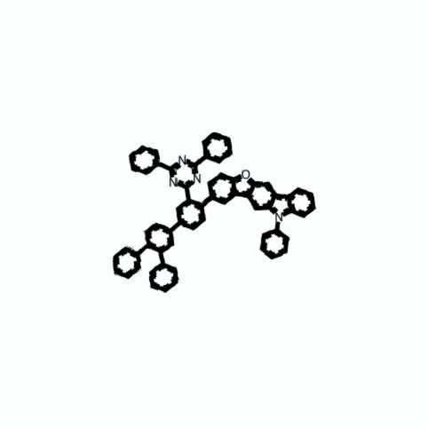 c1ccc(-c2nc(-c3ccccc3)nc(-c3cc(-c4ccc(-c5ccccc5)c(-c5ccccc5)c4)ccc3-c3ccc4oc5cc6c7ccccc7n(-c7ccccc7)c6cc5c4c3)n2)cc1